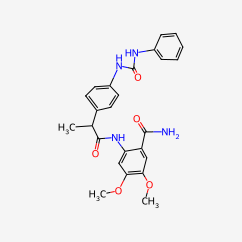 COc1cc(NC(=O)C(C)c2ccc(NC(=O)Nc3ccccc3)cc2)c(C(N)=O)cc1OC